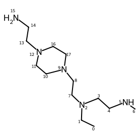 CCN(CCNC)CCN1CCN(CCN)CC1